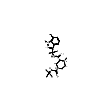 Cc1cccc2c(C(C)(C)NC(=O)[C@@H]3CN(C(=O)OC(C)(C)C)CCN3C)nn(C)c12